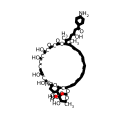 CC1/C=C/C=C/C=C/C=C/C=C/C=C/C=C/C(O[C@H]2C[C@@H](N)[C@H](O)[C@@H](C)O2)CC2OC(O)(CC(O)CC(O)CCCC(O)CC(O)CC(=O)CC(=O)OC1C(C)CCC(O)CC(=O)c1ccc(N)cc1)CC(O)C2C(=O)O